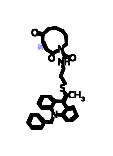 CC(SCCCNC(=O)N1CCCCCC(=O)/C=C\C1=O)=C1c2ccccc2N(Cc2ccccc2)c2ccccc21